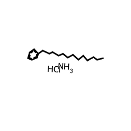 CCCCCCCCCCCCCc1ccccc1.Cl.N